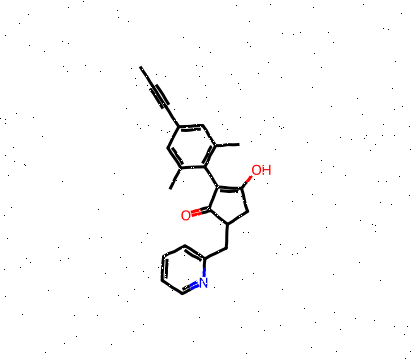 CC#Cc1cc(C)c(C2=C(O)CC(Cc3ccccn3)C2=O)c(C)c1